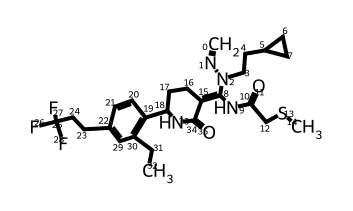 C=NN(CCC1CC1)/C(NC(=O)CSC)=C1\CCC(c2ccc(CCC(F)(F)F)cc2CC)NC1=O